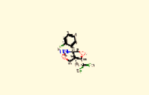 Fc1ccccc1[C@]12CO[C@H](C(F)F)[C@H]1CON2